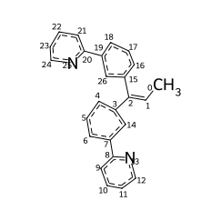 CC=C(c1cccc(-c2ccccn2)c1)c1cccc(-c2ccccn2)c1